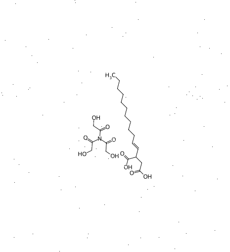 CCCCCCCCCCC=CC(CC(=O)O)C(=O)O.O=C(CO)N(C(=O)CO)C(=O)CO